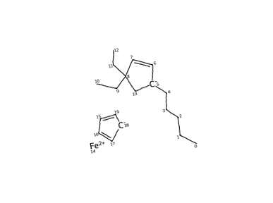 CCCCC[C-]1C=CC(CC)(CC)C1.[Fe+2].c1cc[cH-]c1